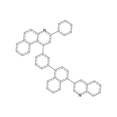 c1ccc(-c2cc(-c3cccc(-c4ccc(-c5cnc6ccccc6c5)c5ccccc45)c3)c3c(ccc4ccccc43)n2)cc1